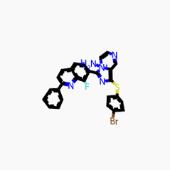 N[N+]12C=CN=CC1=C(Sc1ccc(Br)cc1)N=C2c1ccc2ccc(-c3ccccc3)nc2c1F